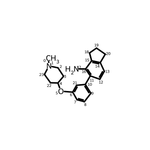 CN1CCC(Oc2cccc(-c3ccc4c(c3N)CCC4)c2)CC1